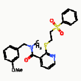 COc1cccc(CN(C)C(=O)c2cccnc2SCCS(=O)(=O)c2ccccc2)c1